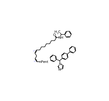 CCCCC/C=C\C/C=C\CCCCCCCC(=O)NC(C)c1ccccc1.c1ccc(-c2ccc(C(c3ccccc3)n3ccnc3)cc2)cc1